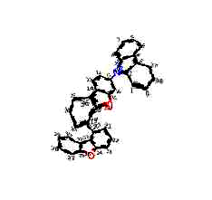 C1=Cc2c(c3ccccc3n2-c2ccc3c(c2)oc2c(-c4cccc5oc6ccccc6c45)cccc23)CC1